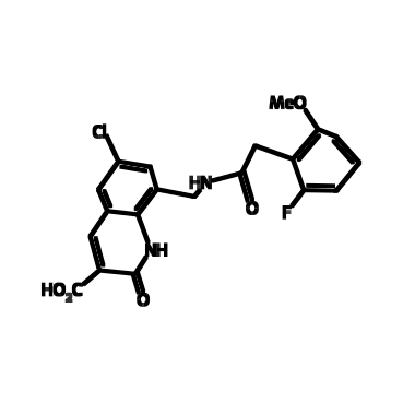 COc1cccc(F)c1CC(=O)NCc1cc(Cl)cc2cc(C(=O)O)c(=O)[nH]c12